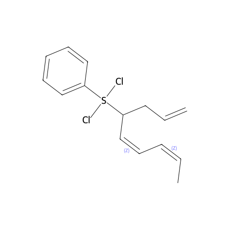 C=CCC(/C=C\C=C/C)S(Cl)(Cl)c1ccccc1